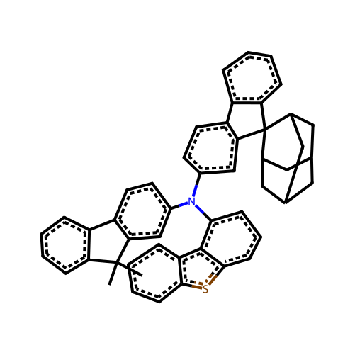 CC1(C)c2ccccc2-c2ccc(N(c3ccc4c(c3)C3(c5ccccc5-4)C4CC5CC(C4)CC3C5)c3cccc4sc5ccccc5c34)cc21